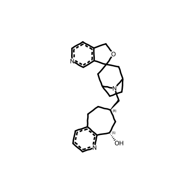 O[C@H]1C[C@H](CN2C3CCC2CC2(C3)OCc3ccncc32)CCc2cccnc21